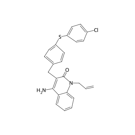 C=CCn1c(=O)c(Cc2ccc(Sc3ccc(Cl)cc3)cc2)c(N)c2ccccc21